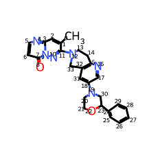 Cc1cc2nccc(=O)n2nc1N1CCc2ncc(N3CCOC(c4ccccc4)C3)cc2C1